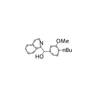 CCCCc1ccc(C(O)c2nccc3ccccc23)cc1OC